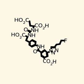 O=C(O)CCC(NC(=O)NC(Cc1ccc(NC(=O)c2cc(C(=O)O)cc(-n3cc(CCCF)nn3)c2)cc1)C(=O)O)C(=O)O